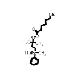 CC(C)(C)CCCCCC(=O)OOC(C)(C)CC[Si](C)(C)c1ccccc1